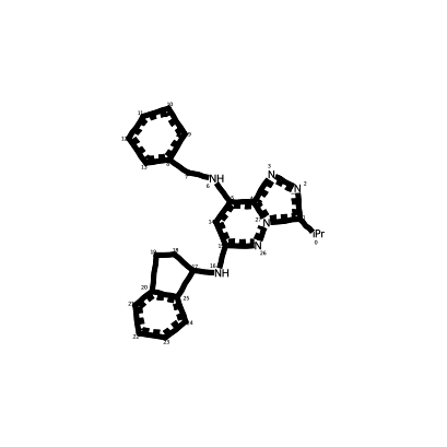 CC(C)c1nnc2c(NCc3ccccc3)cc(NC3CCc4ccccc43)nn12